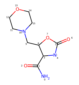 NC(=O)C1[N]C(=O)OC1CN1CCOCC1